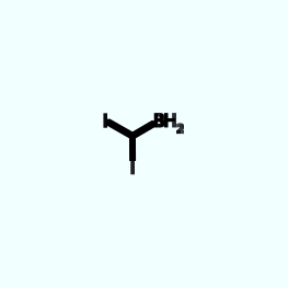 BC(I)I